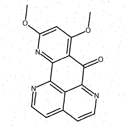 COc1cc(OC)c2c(n1)-c1nccc3ccnc(c13)C2=O